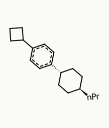 CCC[C@H]1CC[C@H](c2ccc(C3CCC3)cc2)CC1